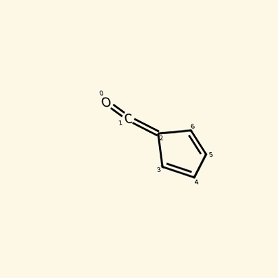 O=C=C1C=CC=C1